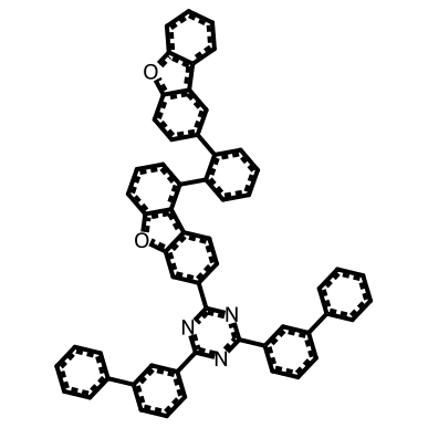 c1ccc(-c2cccc(-c3nc(-c4cccc(-c5ccccc5)c4)nc(-c4ccc5c(c4)oc4cccc(-c6ccccc6-c6ccc7oc8ccccc8c7c6)c45)n3)c2)cc1